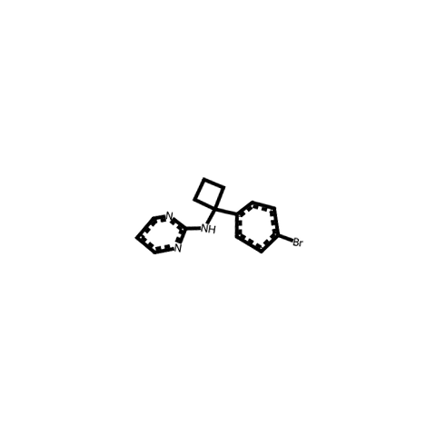 Brc1ccc(C2(Nc3ncccn3)CCC2)cc1